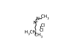 CCN=C=NCCCN(C)C.ClCCl